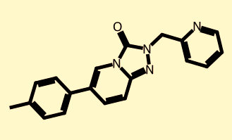 Cc1ccc(-c2ccc3nn(Cc4ccccn4)c(=O)n3c2)cc1